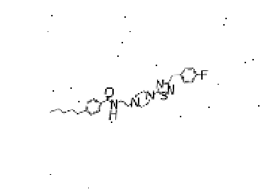 CCCCCc1ccc(C(=O)NCCN2CCN(c3nc(Cc4ccc(F)cc4)ns3)CC2)cc1